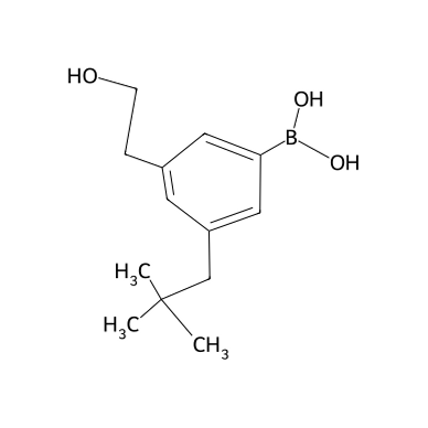 CC(C)(C)Cc1cc(CCO)cc(B(O)O)c1